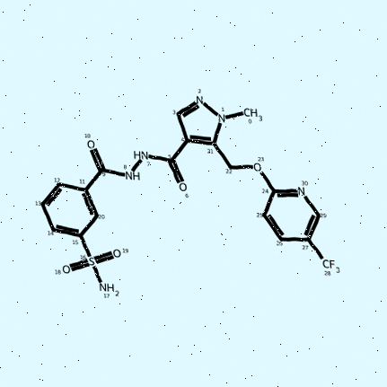 Cn1ncc(C(=O)NNC(=O)c2cccc(S(N)(=O)=O)c2)c1COc1ccc(C(F)(F)F)cn1